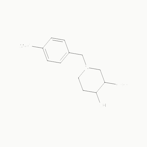 COc1ccc(CN2CCC(C)C(C=O)C2)cc1